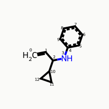 C=CC(Nc1ccccc1)C1CC1